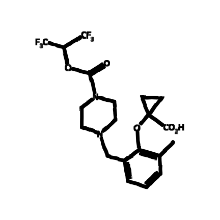 Cc1cccc(CN2CCN(C(=O)OC(C(F)(F)F)C(F)(F)F)CC2)c1OC1(C(=O)O)CC1